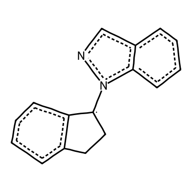 c1ccc2c(c1)CC[C]2n1ncc2ccccc21